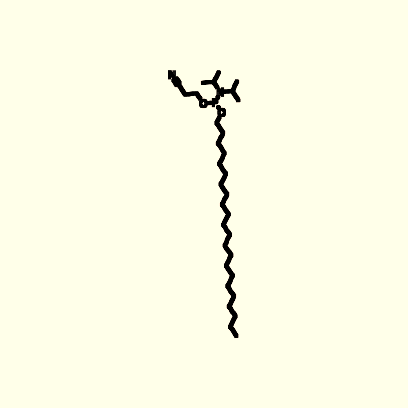 CCCCCCCCCCCCCCCCCCCCCCOP(OCCC#N)N(C(C)C)C(C)C